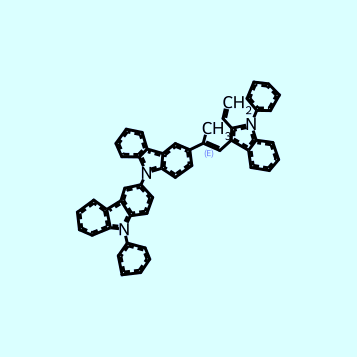 C=Cc1c(/C=C(\C)c2ccc3c(c2)c2ccccc2n3-c2ccc3c(c2)c2ccccc2n3-c2ccccc2)c2ccccc2n1-c1ccccc1